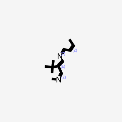 C\C=C/C=N\C=C(\C=N/C)C(C)(C)C